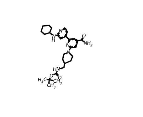 CC(C)(C)OC(=O)NCC1CCN(c2cc(C(N)=O)cc(-c3ccnc(NC4CCCCC4)c3)n2)CC1